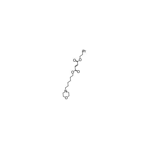 CC(C)CCOC(=O)/C=C/C(=O)OCCCCCCN1CCOCC1